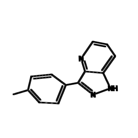 Cc1ccc(-c2n[nH]c3cccnc23)cc1